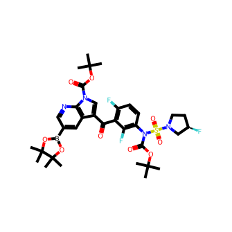 CC(C)(C)OC(=O)N(c1ccc(F)c(C(=O)c2cn(C(=O)OC(C)(C)C)c3ncc(B4OC(C)(C)C(C)(C)O4)cc23)c1F)S(=O)(=O)N1CC[C@@H](F)C1